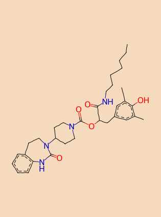 CCCCCCCNC(=O)C(Cc1cc(C)c(O)c(C)c1)OC(=O)N1CCC(N2CCc3ccccc3NC2=O)CC1